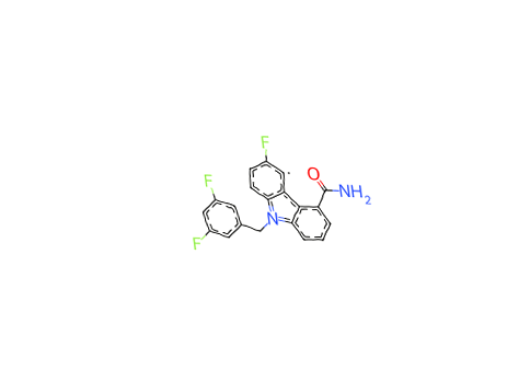 NC(=O)c1cccc2c1c1[c]c(F)ccc1n2Cc1cc(F)cc(F)c1